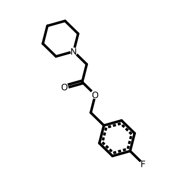 O=C(CN1CCCCC1)OCc1ccc(F)cc1